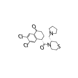 O=C1CC[C@H](C(=O)N2CCSC[C@H]2CN2CCCC2)c2cc(Cl)c(Cl)cc21